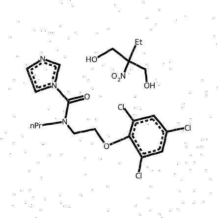 CCC(CO)(CO)[N+](=O)[O-].CCCN(CCOc1c(Cl)cc(Cl)cc1Cl)C(=O)n1ccnc1